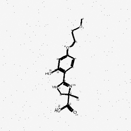 COCCOc1ccc(C2=NC(C)(C(=O)O)CN2)c(O)c1